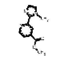 COC(=O)c1ccnc(-c2nccn2C)c1